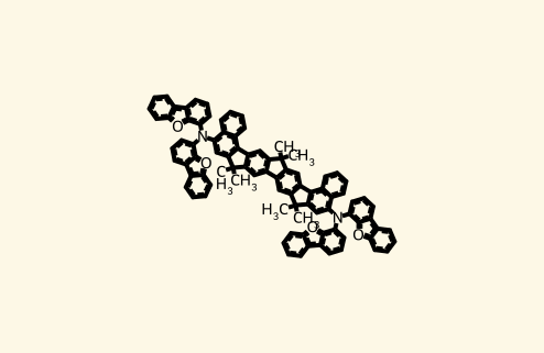 CC1(C)c2cc3c(cc2-c2cc4c(cc21)-c1c(cc(N(c2cccc5c2oc2ccccc25)c2cccc5c2oc2ccccc25)c2ccccc12)C4(C)C)C(C)(C)c1cc(N(c2cccc4c2oc2ccccc24)c2cccc4c2oc2ccccc24)c2ccccc2c1-3